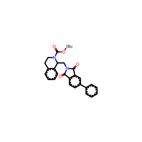 CC(C)(C)OC(=O)N1CCc2ccccc2C1CN1C(=O)c2ccc(-c3ccccc3)cc2C1=O